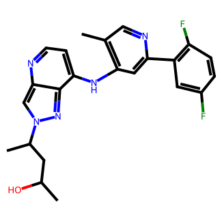 Cc1cnc(-c2cc(F)ccc2F)cc1Nc1ccnc2cn(C(C)CC(C)O)nc12